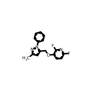 Cc1cc(COc2ccc(F)nc2F)n(-c2ccccc2)n1